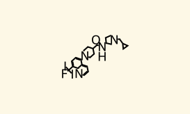 O=C(NC1CCN(CC2CC2)C1)C1CCN(c2ccc(C(F)(I)I)c3ncccc23)CC1